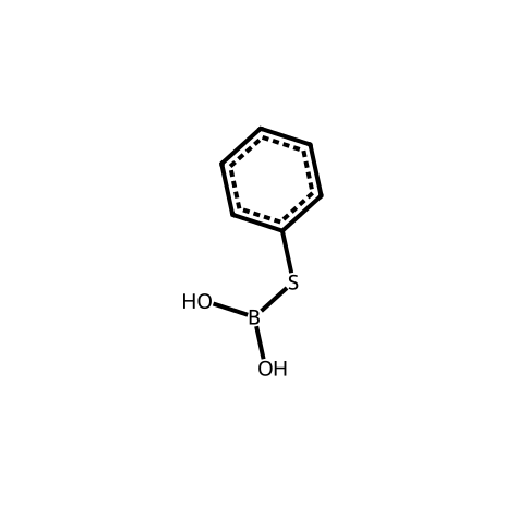 OB(O)Sc1ccccc1